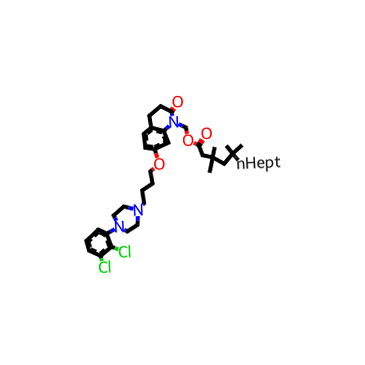 CCCCCCCC(C)(C)CC(C)(C)CC(=O)OCN1C(=O)CCc2ccc(OCCCCN3CCN(c4cccc(Cl)c4Cl)CC3)cc21